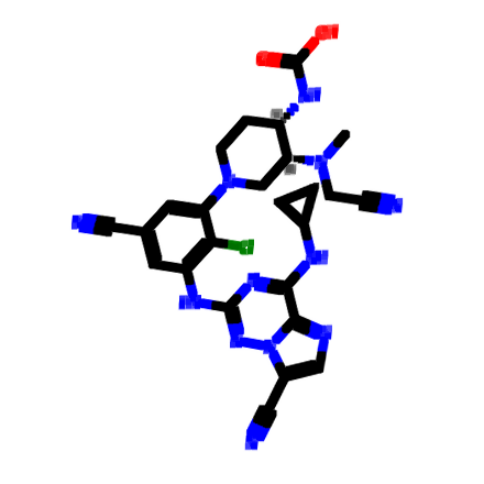 CN(CC#N)[C@@H]1CN(c2cc(C#N)cc(Nc3nc(NC4CC4)c4ncc(C#N)n4n3)c2Cl)CC[C@@H]1NC(=O)O